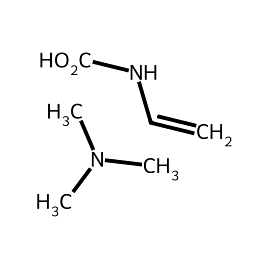 C=CNC(=O)O.CN(C)C